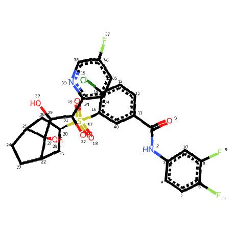 O=C(Nc1ccc(F)c(F)c1)c1ccc(Cl)c(S(=O)(=O)[C@H]2CC3CCC(C2)[C@]3(O)C(O)C(O)c2ccc(F)cn2)c1